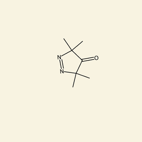 CC1(C)N=NC(C)(C)C1=O